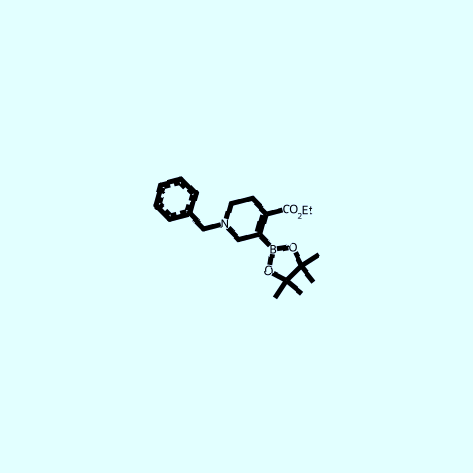 CCOC(=O)C1=C(B2OC(C)(C)C(C)(C)O2)CN(Cc2ccccc2)CC1